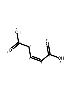 O=C(O)/C=C\CC(=O)O